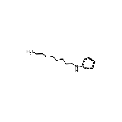 CCCCCCCCCNc1[c]cccc1